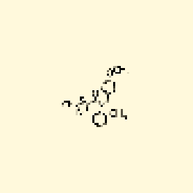 COc1ccc(CN(C(=O)c2cnc(Cl)s2)c2ccccc2C)cc1